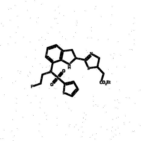 CCOC(=O)CC1CN=C(C2Cc3cccc(N(CCF)S(=O)(=O)c4cccs4)c3N2)S1